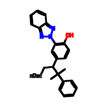 CCCCCCCCCCCC(c1ccc(O)c(-n2nc3ccccc3n2)c1)C(C)(C)c1ccccc1